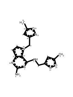 Cc1cc(CNc2nc(N)nc3ccn(Cc4cc(C)on4)c23)no1